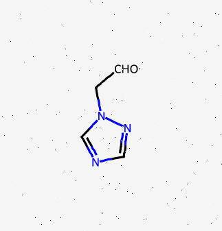 O=[C]Cn1cncn1